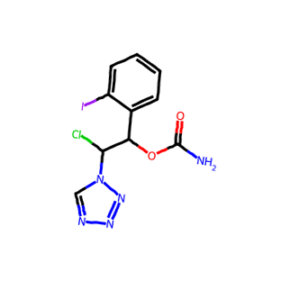 NC(=O)OC(c1ccccc1I)C(Cl)n1cnnn1